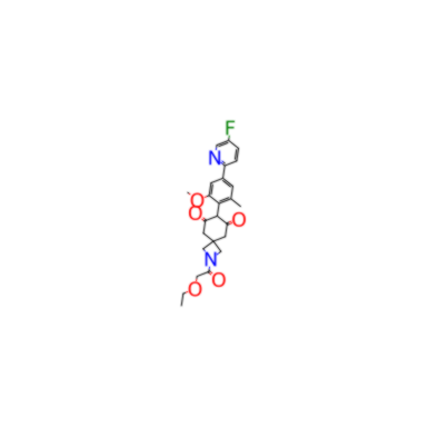 CCOCC(=O)N1CC2(CC(=O)C(c3c(C)cc(-c4ccc(F)cn4)cc3OC)C(=O)C2)C1